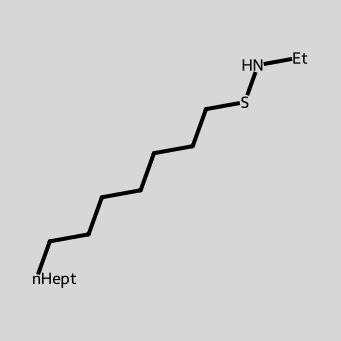 CCCCCCCCCCCCCCSNCC